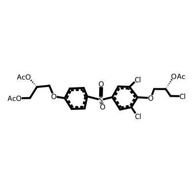 CC(=O)OC[C@@H](COc1ccc(S(=O)(=O)c2cc(Cl)c(OC[C@@H](CCl)OC(C)=O)c(Cl)c2)cc1)OC(C)=O